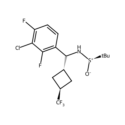 CC(C)(C)[S@@+]([O-])NC(c1ccc(F)c(Cl)c1F)[C@H]1C[C@H](C(F)(F)F)C1